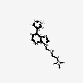 C[Si](C)(C)CCOCn1cnc2c(-c3cn[nH]c3)ccnc21